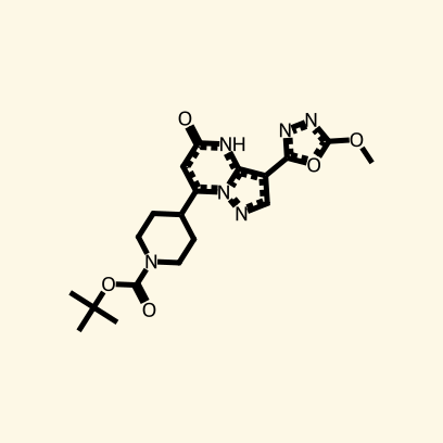 COc1nnc(-c2cnn3c(C4CCN(C(=O)OC(C)(C)C)CC4)cc(=O)[nH]c23)o1